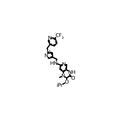 CC(C)OC1C(=O)Nc2cnc(NCc3cnn(Cc4ccc(C(F)(F)F)nc4)c3)cc2N1C